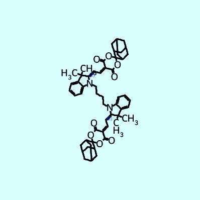 CC1(C)/C(=C/C=C2C(=O)OC3(OC2=O)C2CC4CC(C2)CC3C4)N(CCCCN2/C(=C/C=C3C(=O)OC4(OC3=O)C3CC5CC(C3)CC4C5)C(C)(C)c3ccccc32)c2ccccc21